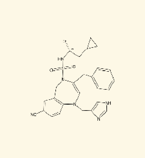 CC[C@H](CC1CC1)NS(=O)(=O)N1Cc2cc(C#N)ccc2N(Cc2c[nH]cn2)C=C1Cc1ccccc1